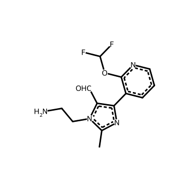 Cc1nc(-c2cccnc2OC(F)F)c(C=O)n1CCN